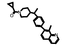 Cc1c(-c2ccc(C(C)C3CCN(C(=O)C4CC4)CC3)cc2)ccc2cccnc12